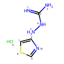 Cl.N=C(N)NN.c1cscn1